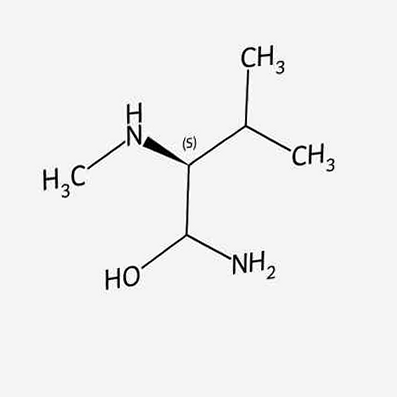 CN[C@@H](C(C)C)C(N)O